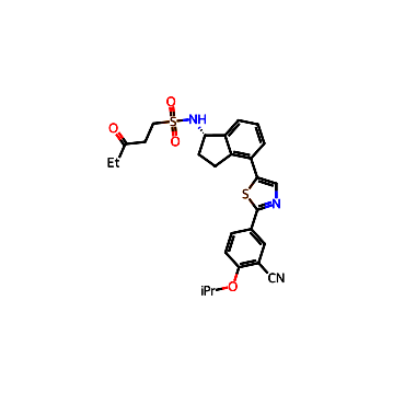 CCC(=O)CCS(=O)(=O)N[C@H]1CCc2c(-c3cnc(-c4ccc(OC(C)C)c(C#N)c4)s3)cccc21